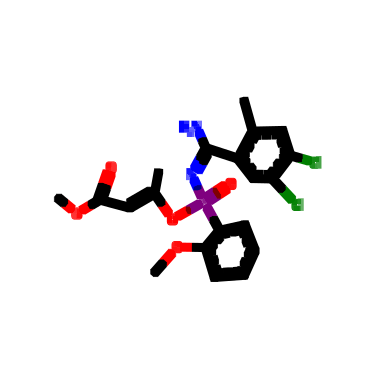 COC(=O)/C=C(\C)OP(=O)(/N=C(/N)c1cc(Cl)c(Cl)cc1C)c1ccccc1OC